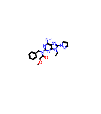 CCn1c(-n2cccn2)nc2c(N)nc(N(Cc3ccccc3)C(=O)COC)nc21